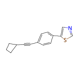 C(#CC1CCC1)c1ccc(-c2cncs2)cc1